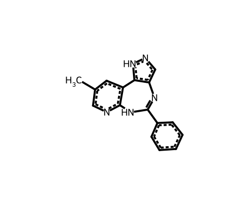 Cc1cnc2c(c1)-c1[nH]ncc1N=C(c1ccccc1)N2